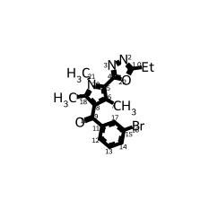 CCc1nnc(-c2c(C)c(C(=O)c3cccc(Br)c3)c(C)n2C)o1